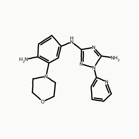 Nc1ccc(Nc2nc(N)n(-c3ccccn3)n2)cc1N1CCOCC1